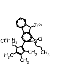 CCC[Si]1(Cl)c2c(C3=C(C)C(C)=C(C)C3C)cc3c(c21)[CH]([Zr+2])c1ccccc1-3.[Cl-].[Cl-]